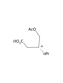 CCC[C@@H](COC(C)=O)CC(=O)O